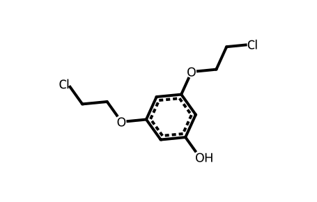 Oc1cc(OCCCl)cc(OCCCl)c1